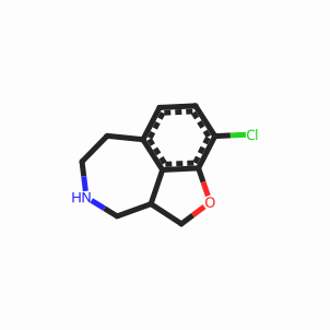 Clc1ccc2c3c1OCC3CNCC2